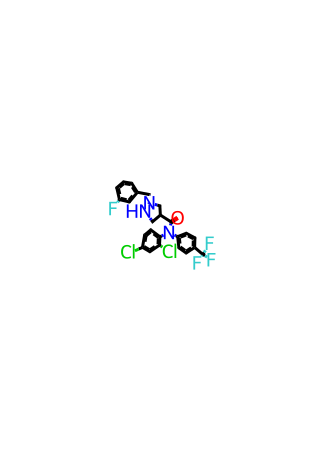 O=C(C1CNN(Cc2cccc(F)c2)C1)N(c1ccc(C(F)(F)F)cc1)c1ccc(Cl)cc1Cl